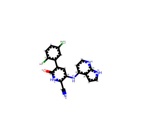 N#Cc1[nH]c(=O)c(-c2cc(Cl)ccc2F)cc1Nc1ccnc2[nH]ccc12